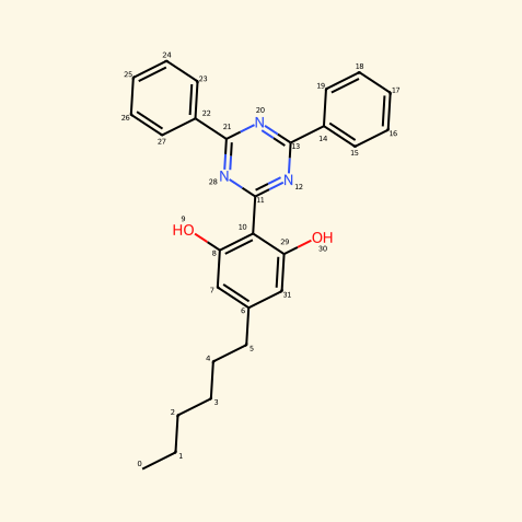 CCCCCCc1cc(O)c(-c2nc(-c3ccccc3)nc(-c3ccccc3)n2)c(O)c1